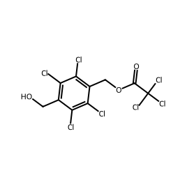 O=C(OCc1c(Cl)c(Cl)c(CO)c(Cl)c1Cl)C(Cl)(Cl)Cl